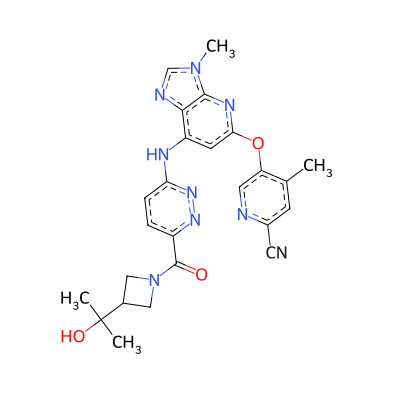 Cc1cc(C#N)ncc1Oc1cc(Nc2ccc(C(=O)N3CC(C(C)(C)O)C3)nn2)c2ncn(C)c2n1